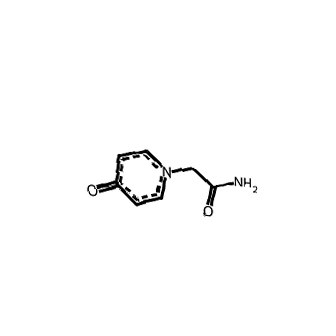 NC(=O)Cn1ccc(=O)cc1